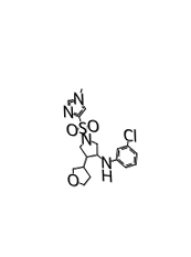 Cn1cnc(S(=O)(=O)N2CC(Nc3cccc(Cl)c3)C(C3CCOC3)C2)c1